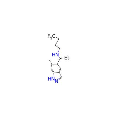 CCC(NCCCC(F)(F)F)c1cc2cn[nH]c2cc1C